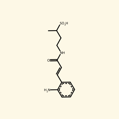 CC(CCNC(=O)C=Cc1ccccc1N)S(=O)(=O)O